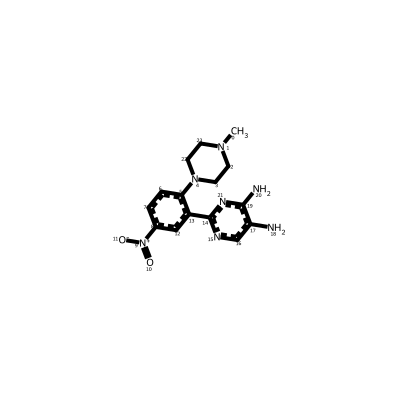 CN1CCN(c2ccc([N+](=O)[O-])cc2-c2ncc(N)c(N)n2)CC1